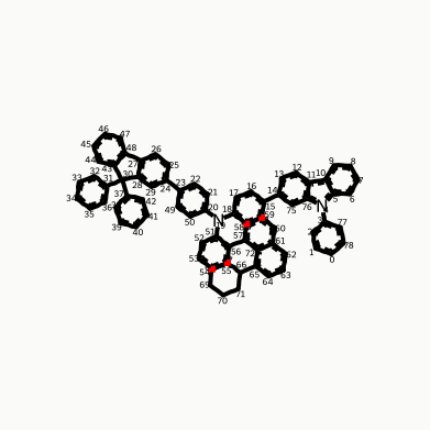 c1ccc(-n2c3ccccc3c3ccc(-c4ccc(N(c5ccc(-c6ccc7c(c6)C(c6ccccc6)(c6ccccc6)c6ccccc6-7)cc5)c5ccccc5-c5cccc6cccc(C7CCCCC7)c56)cc4)cc32)cc1